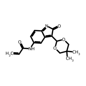 C=CC(=O)Nc1ccc2c(c1)=C(C1OCC(C)(C)CO1)C(=O)N=2